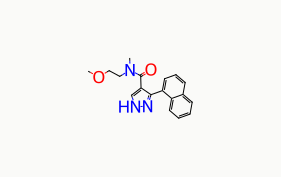 COCCN(C)C(=O)c1c[nH]nc1-c1cccc2ccccc12